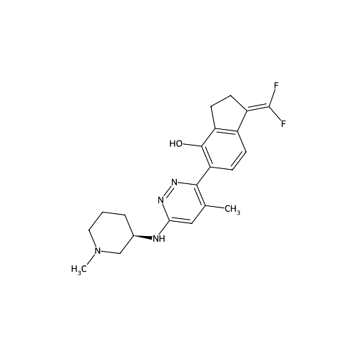 Cc1cc(N[C@@H]2CCCN(C)C2)nnc1-c1ccc2c(c1O)CCC2=C(F)F